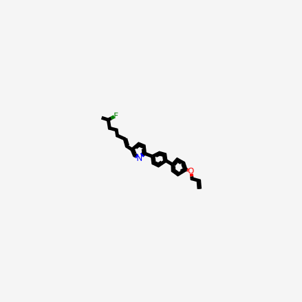 C=CCOc1ccc(-c2ccc(-c3ccc(/C=C/CCCC(C)F)cn3)cc2)cc1